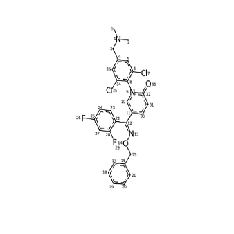 CN(C)Cc1cc(Cl)c(-n2cc(C(=NOCc3ccccc3)c3ccc(F)cc3F)ccc2=O)c(Cl)c1